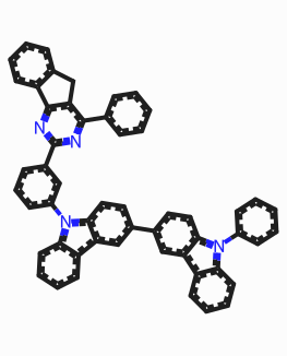 c1ccc(-c2nc(-c3cccc(-n4c5ccccc5c5cc(-c6ccc7c(c6)c6ccccc6n7-c6ccccc6)ccc54)c3)nc3c2Cc2ccccc2-3)cc1